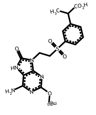 CCCCOc1nc(N)c2[nH]c(=O)n(CCS(=O)(=O)c3cccc(C(C)C(=O)O)c3)c2n1